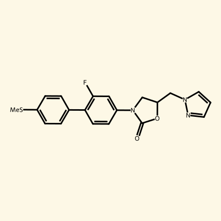 CSc1ccc(-c2ccc(N3CC(Cn4cccn4)OC3=O)cc2F)cc1